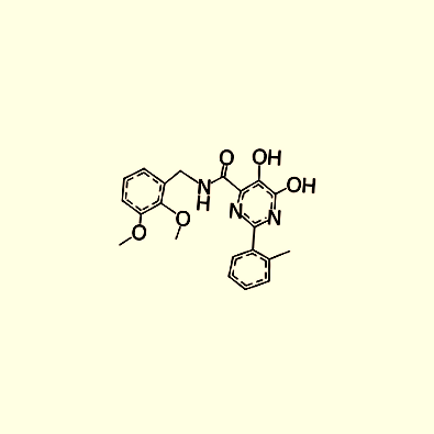 COc1cccc(CNC(=O)c2nc(-c3ccccc3C)nc(O)c2O)c1OC